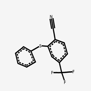 N#Cc1ccc(C(F)(F)F)cc1Sc1ccccc1